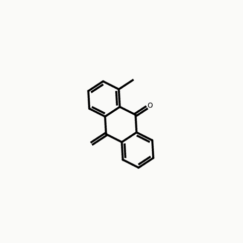 C=C1c2ccccc2C(=O)c2c(C)cccc21